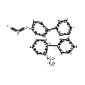 O.O.O=S=O.c1ccc(-c2ccccc2)cc1.c1ccc(-c2ccccc2)cc1